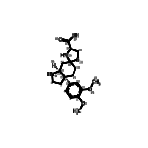 COc1ccc([C@]23CCN[C@H]2CC2(CC3)NC(C(=O)O)CS2)cc1OC